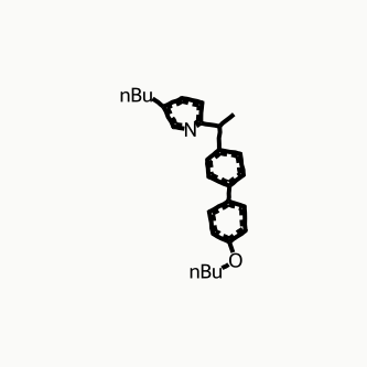 CCCCOc1ccc(-c2ccc(C(C)c3ccc(CCCC)cn3)cc2)cc1